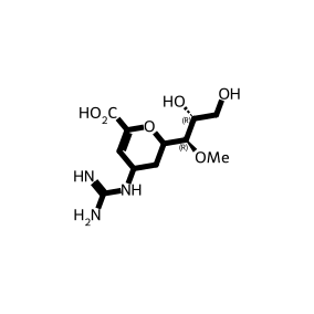 CO[C@@H](C1CC(NC(=N)N)C=C(C(=O)O)O1)[C@H](O)CO